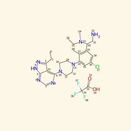 CCc1n[nH]c2ncnc(N3CCN(c4cc(Cl)cc(C(CN)N(C)CC)c4C)CC3)c12.O=C(O)C(F)(F)F